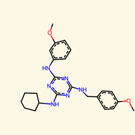 COc1ccc(CNc2nc(Nc3cccc(OC)c3)nc(NC3CCCCC3)n2)cc1